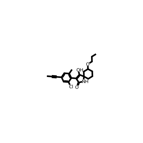 CC#Cc1cc(C)c(C2=C(O)C3(CCCC(OCCC)C3)NC2=O)c(Cl)c1